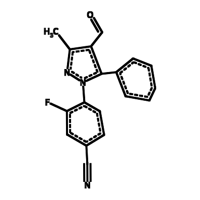 Cc1nn(-c2ccc(C#N)cc2F)c(-c2ccccc2)c1C=O